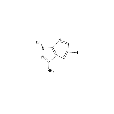 CC(C)(C)n1nc(N)c2cc(I)cnc21